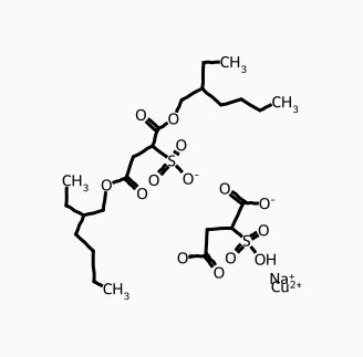 CCCCC(CC)COC(=O)CC(C(=O)OCC(CC)CCCC)S(=O)(=O)[O-].O=C([O-])CC(C(=O)[O-])S(=O)(=O)O.[Cu+2].[Na+]